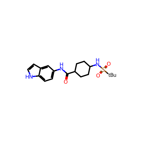 CC(C)(C)S(=O)(=O)NC1CCC(C(=O)Nc2ccc3[nH]ccc3c2)CC1